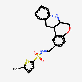 Cc1ccc(S(=O)(=O)NCc2ccc3c(c2)C(Cc2ccccc2)C(N)CO3)s1